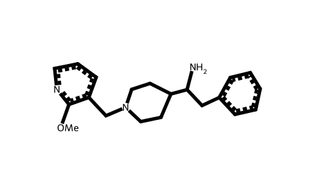 COc1ncccc1CN1CCC(C(N)Cc2ccccc2)CC1